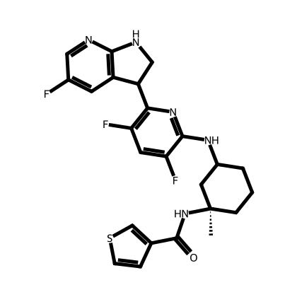 C[C@@]1(NC(=O)c2ccsc2)CCCC(Nc2nc(C3CNc4ncc(F)cc43)c(F)cc2F)C1